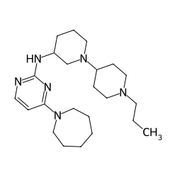 CCCN1CCC(N2CCCC(Nc3nccc(N4CCCCCC4)n3)C2)CC1